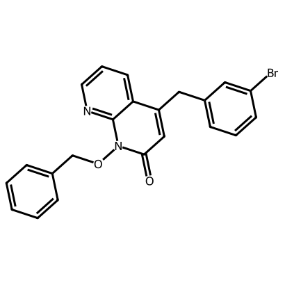 O=c1cc(Cc2cccc(Br)c2)c2cccnc2n1OCc1ccccc1